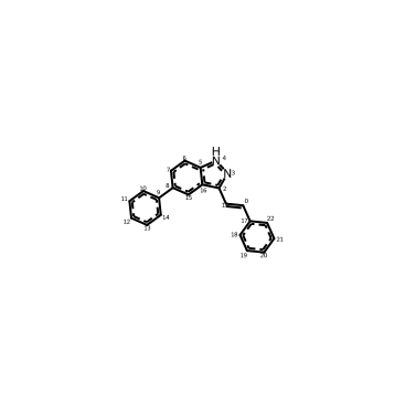 C(=Cc1n[nH]c2ccc(-c3ccccc3)cc12)c1ccccc1